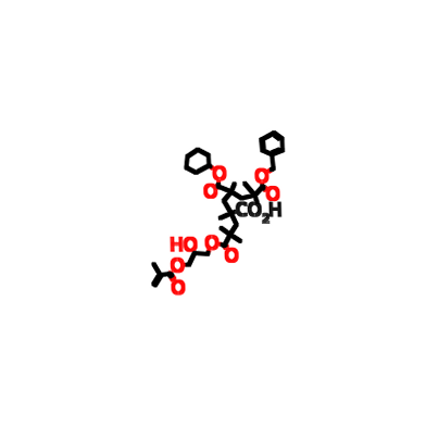 C=C(C)C(=O)OCC(O)COC(=O)C(C)(C)CC(C)(CC(C)(CC(C)(C)C(=O)OCc1ccccc1)C(=O)OC1CCCCC1)C(=O)O